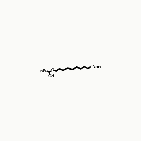 [CH2]CCC(O)OCCCCCCCCCCCCCCCCCC